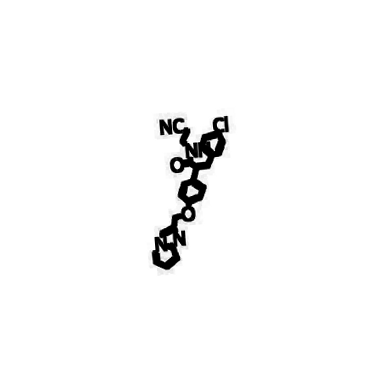 N#CCCNC(=O)C(=Cc1ccc(Cl)cc1)c1ccc(OCc2cn3ccccc3n2)cc1